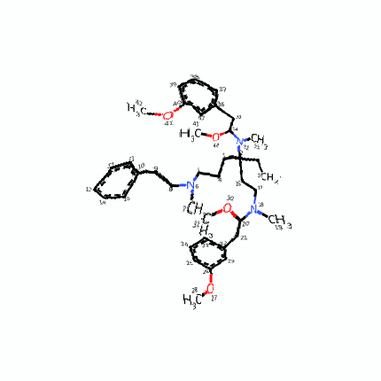 [CH2]CC(CCCN(C)CCc1ccccc1)(CCN(C)C(Cc1cccc(OC)c1)OC)N(C)C(Cc1cccc(OC)c1)OC